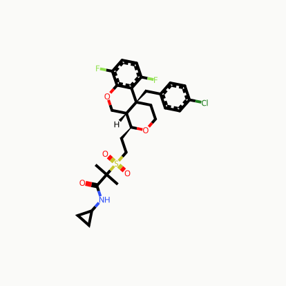 CC(C)(C(=O)NC1CC1)S(=O)(=O)CC[C@@H]1OCC[C@@]2(Cc3ccc(Cl)cc3)c3c(F)ccc(F)c3OC[C@@H]12